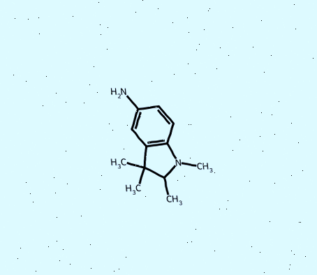 CC1N(C)c2ccc(N)cc2C1(C)C